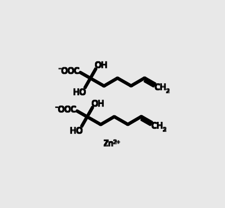 C=CCCCC(O)(O)C(=O)[O-].C=CCCCC(O)(O)C(=O)[O-].[Zn+2]